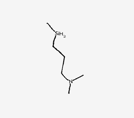 C[SiH2]CCCN(C)C